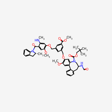 CNc1cc(OCc2cc(COc3cc4c(cc3OC)-c3ccccc3CC(NC=O)CN4C(=O)OCC(C)(C)C)cc(C(=O)OC)c2)c(OC)cc1C(=O)N1c2ccccc2C[C@H]1C